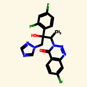 CC(n1nnc2cc(Br)ccc2c1=O)C(O)(Cn1cncn1)c1ccc(F)cc1F